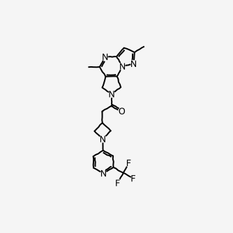 Cc1cc2nc(C)c3c(n2n1)CN(C(=O)CC1CN(c2ccnc(C(F)(F)F)c2)C1)C3